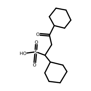 O=C(CC(C1CCCCC1)S(=O)(=O)O)C1CCCCC1